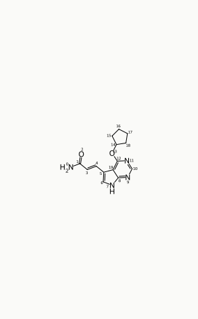 NC(=O)C=Cc1c[nH]c2ncnc(OC3CCCC3)c12